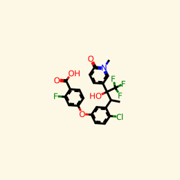 CC(c1cc(Oc2ccc(C(=O)O)c(F)c2)ccc1Cl)C(O)(c1ccc(=O)n(C)c1)C(F)(F)F